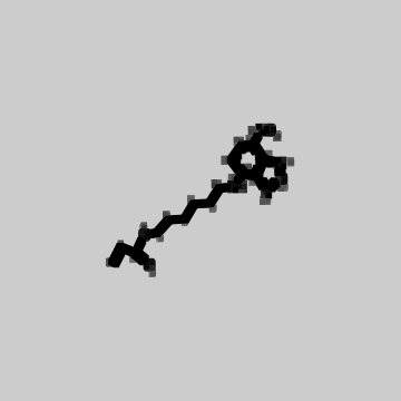 C=CC(=O)OCCCCCCNc1ccc([N+](=O)[O-])c2nonc12